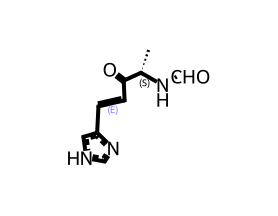 C[C@H](NC=O)C(=O)/C=C/c1c[nH]cn1